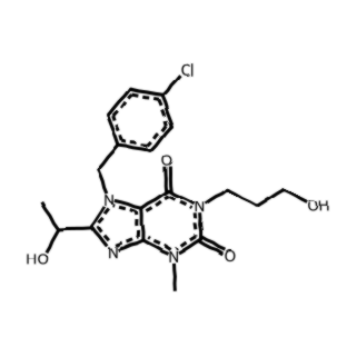 CC(O)c1nc2c(c(=O)n(CCCO)c(=O)n2C)n1Cc1ccc(Cl)cc1